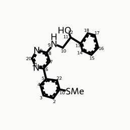 CSc1cccc(-c2cc(NCC(O)c3ccccc3)ncn2)c1